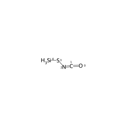 O=C=NS[SiH3]